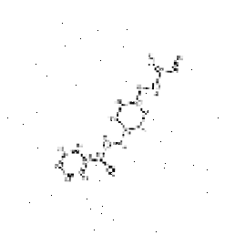 C=CC(=O)OCC1CCC(COC(=O)c2ccccc2)CC1